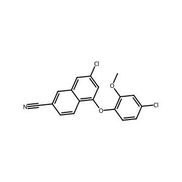 COc1cc(Cl)ccc1Oc1cc(Cl)cc2cc(C#N)ccc12